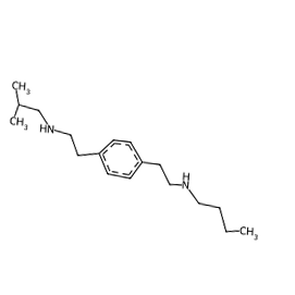 CCCCNCCc1ccc(CCNCC(C)C)cc1